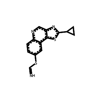 N=CSc1ccc2ncc3nc(C4CC4)sc3c2c1